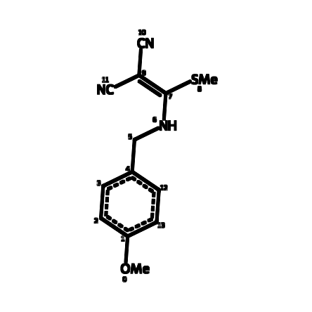 COc1ccc(CNC(SC)=C(C#N)C#N)cc1